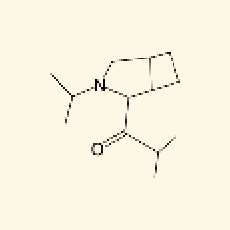 CC(C)C(=O)C1C2CCC2CN1C(C)C